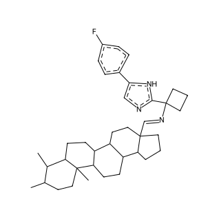 CC1CCC2(C)C(CCC3C4CCC5(/C=N/C6(c7ncc(-c8ccc(F)cc8)[nH]7)CCC6)CCCC5C4CCC32)C1C